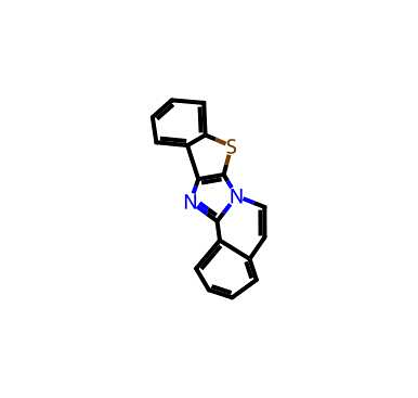 c1ccc2c(c1)ccn1c2nc2c3ccccc3sc21